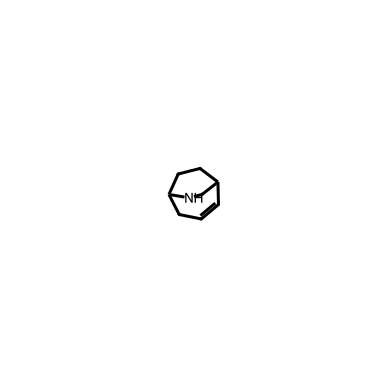 C1=CC2CCC(C1)NC2